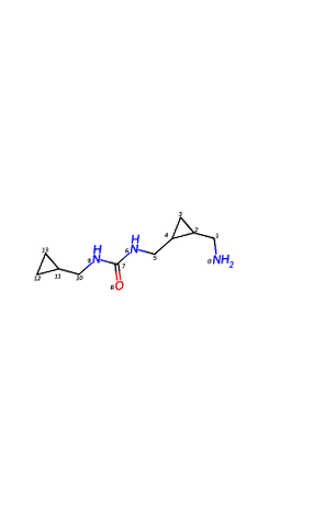 NCC1CC1CNC(=O)NCC1CC1